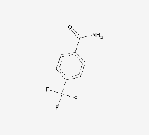 NC(=O)c1[c]cc(C(F)(F)F)cc1